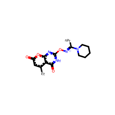 CCC/C(=N\Oc1nc2oc(=O)cc(CC)c2c(=O)[nH]1)N1CCCCC1